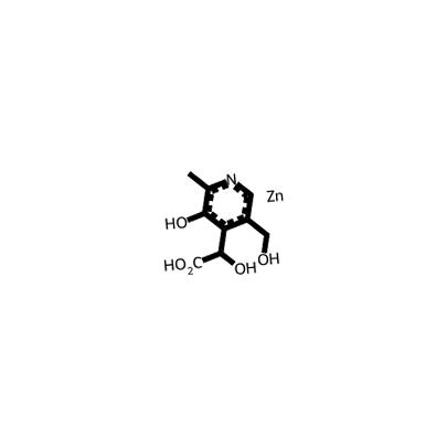 Cc1ncc(CO)c(C(O)C(=O)O)c1O.[Zn]